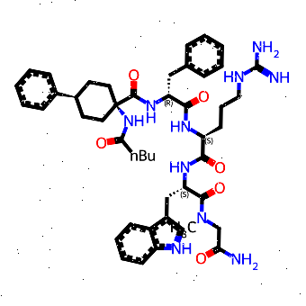 CCCCC(=O)N[C@]1(C(=O)N[C@H](Cc2ccccc2)C(=O)N[C@@H](CCCNC(=N)N)C(=O)N[C@@H](Cc2c[nH]c3ccccc23)C(=O)N(C)CC(N)=O)CC[C@H](c2ccccc2)CC1